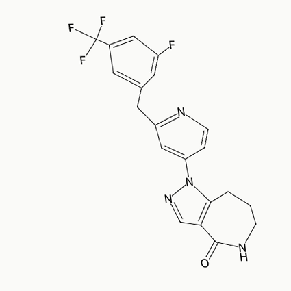 O=C1NCCCc2c1cnn2-c1ccnc(Cc2cc(F)cc(C(F)(F)F)c2)c1